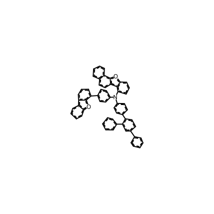 c1ccc(-c2ccc(-c3ccc(N(c4ccc(-c5cccc6c5oc5ccccc56)cc4)c4cccc5oc6c7ccccc7ccc6c45)cc3)c(-c3ccccc3)c2)cc1